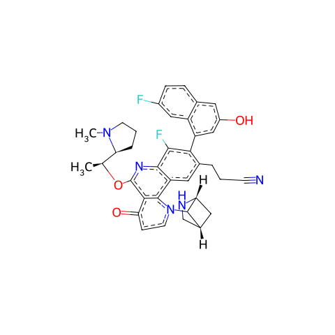 C[C@H](Oc1nc2c(F)c(-c3cc(O)cc4ccc(F)cc34)c(CCC#N)cc2c2c1c(=O)ccn2C1[C@H]2CN[C@@H]1C2)[C@@H]1CCCN1C